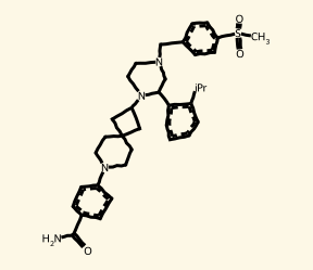 CC(C)c1ccccc1C1CN(Cc2ccc(S(C)(=O)=O)cc2)CCN1C1CC2(CCN(c3ccc(C(N)=O)cc3)CC2)C1